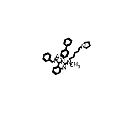 CC(=O)N(Cc1ccccc1)C1c2ccccc2N=C(N(C)CCCCCN2CCCC2)N1c1ccc(-c2ccccc2)cc1